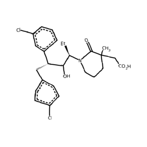 CC[C@H](C(O)[C@H](Cc1ccc(Cl)cc1)c1cccc(Cl)c1)N1CCCC(C)(CC(=O)O)C1=O